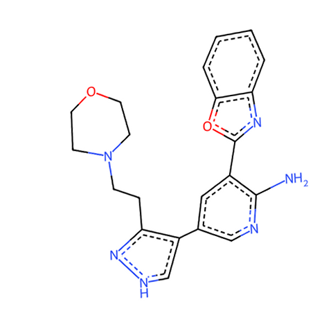 Nc1ncc(-c2c[nH]nc2CCN2CCOCC2)cc1-c1nc2ccccc2o1